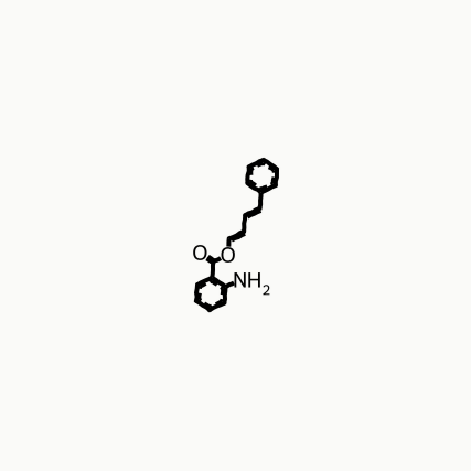 Nc1ccccc1C(=O)OC=CC=Cc1ccccc1